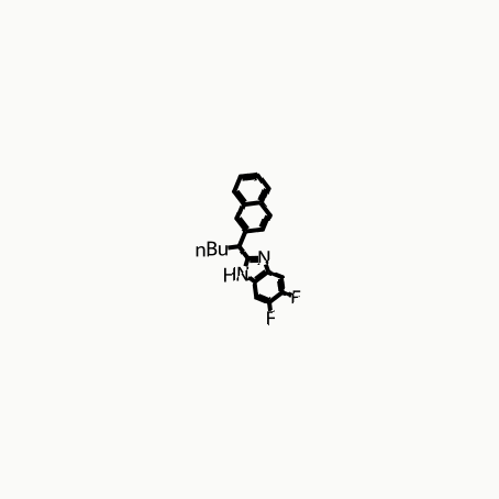 CCCCC(c1ccc2ccccc2c1)c1nc2cc(F)c(F)cc2[nH]1